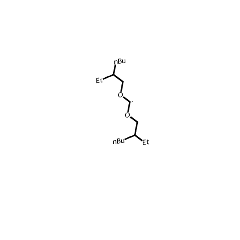 CCCCC(CC)CO[CH]OCC(CC)CCCC